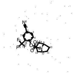 N#Cc1ccc(OC2CC3CCC(C2)N3C(=O)O)c(C(F)(F)F)c1